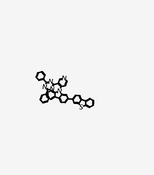 c1ccc(-c2nc(-c3ccccc3)nc(-c3cnccc3-n3c4ccccc4c4ccc(-c5ccc6c(c5)sc5ccccc56)cc43)n2)cc1